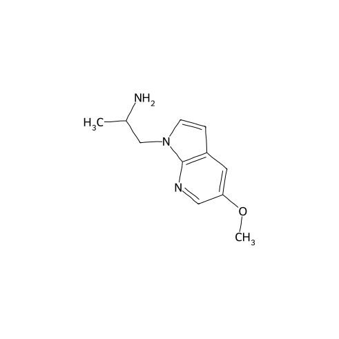 COc1cnc2c(ccn2CC(C)N)c1